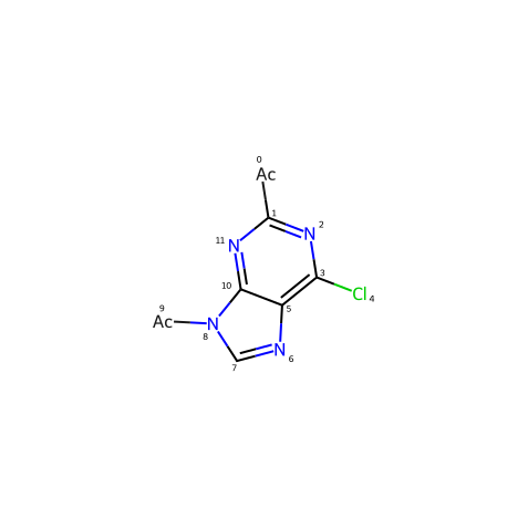 CC(=O)c1nc(Cl)c2ncn(C(C)=O)c2n1